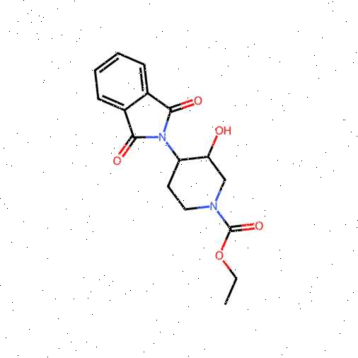 CCOC(=O)N1CCC(N2C(=O)c3ccccc3C2=O)C(O)C1